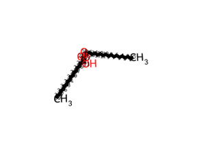 CCCCCCCCCCCCCCCCCC(=O)OC(=O)C(O)CCCCCCCCCCCCCCCC